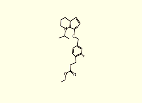 CCOC(=O)CCc1ccc(COc2cccc3c2N(C(C)C)CCC3)cc1F